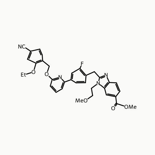 CCOc1cc(C#N)ccc1COc1cccc(-c2ccc(Cc3nc4ccc(C(=O)OC)cc4n3CCOC)c(F)c2)n1